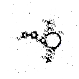 CC[C@@H]1C[C@H](C)CC/C=C\C2C[C@@]2(C(=O)NS(=O)(=O)C2(C)CC2)NC(=O)[C@@H]2C[C@@H](Oc3ccnc(-c4nc(C)cs4)c3)CN2C(=O)[C@H]1NC(=O)OC(C)(C)C(F)(F)F